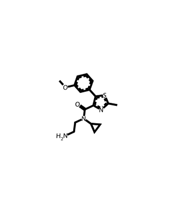 COc1cccc(-c2sc(C)nc2C(=O)N(CCN)C2CC2)c1